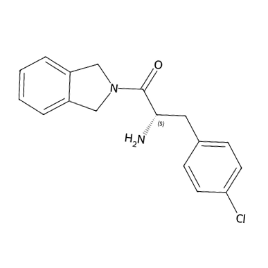 N[C@@H](Cc1ccc(Cl)cc1)C(=O)N1Cc2ccccc2C1